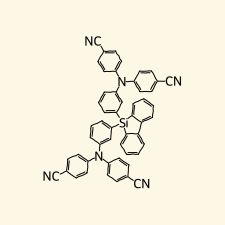 N#Cc1ccc(N(c2ccc(C#N)cc2)c2cccc([Si]3(c4cccc(N(c5ccc(C#N)cc5)c5ccc(C#N)cc5)c4)c4ccccc4-c4ccccc43)c2)cc1